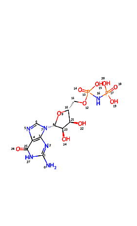 Nc1nc2c(ncn2[C@@H]2O[C@H](COP(=O)(O)NP(=O)(O)O)[C@@H](O)[C@H]2O)c(=O)[nH]1